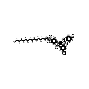 CCCCCCCCCCCCCCCCS(=O)(=O)c1ccc(NC(=O)c2cc(Cl)ccc2NS(=O)(=O)c2ccc(Cl)cc2)cc1